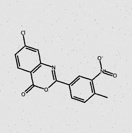 Cc1ccc(-c2nc3cc(Cl)ccc3c(=O)o2)cc1[N+](=O)[O-]